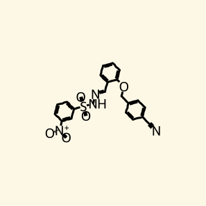 N#Cc1ccc(COc2ccccc2C=NNS(=O)(=O)c2cccc([N+](=O)[O-])c2)cc1